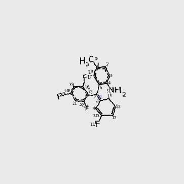 Cc1ccc(N)c(/C(=C2/C=C(F)C=CC2)c2c(F)cc(F)cc2F)c1